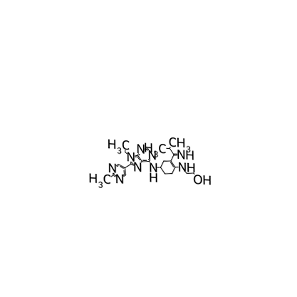 CCn1c(-c2cnc(C)nc2)nc2c(NC3CCC(NCCO)=C(C(=N)C(C)C)C3)ncnc21